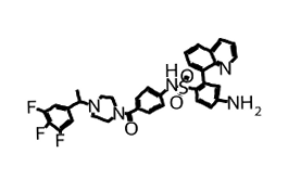 CC(c1cc(F)c(F)c(F)c1)N1CCN(C(=O)c2ccc(NS(=O)(=O)c3ccc(N)cc3-c3cccc4cccnc34)cc2)CC1